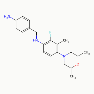 Cc1c(N2CC(C)OC(C)C2)ccc(NCc2ccc(N)cc2)c1F